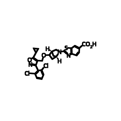 O=C(O)c1ccc2nc(N3C[C@H]4C[C@@H]3CC4OCc3c(-c4c(Cl)cccc4Cl)noc3C3CC3)sc2c1